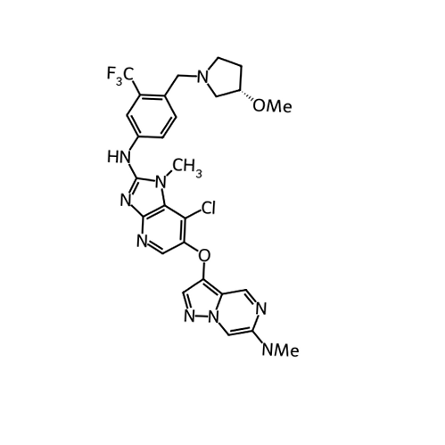 CNc1cn2ncc(Oc3cnc4nc(Nc5ccc(CN6CC[C@H](OC)C6)c(C(F)(F)F)c5)n(C)c4c3Cl)c2cn1